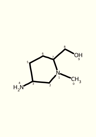 CN1CC(N)CCC1CO